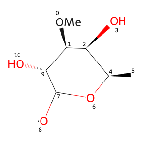 CO[C@H]1[C@@H](O)[C@@H](C)OC([O])[C@@H]1O